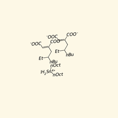 CCCCC(CC)C/C(=C/C(=O)[O-])C(=O)[O-].CCCCC(CC)C/C(=C/C(=O)[O-])C(=O)[O-].CCCCCCC[CH2][SnH2+4][CH2]CCCCCCC